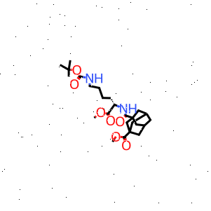 COC(=O)[C@H](CCCCNC(=O)OC(C)(C)C)NC(=O)C12CC3CC(C1)CC(C(=O)OC)(C3)C2